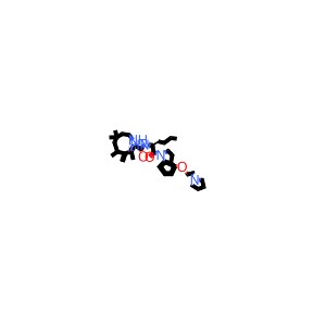 C=C1/C(C)=C(/C(=O)N[C@@H](CCCC)C(=O)N2CCc3c(OCCN4CCCC4)cccc32)NCCC(C)(C)CC1C